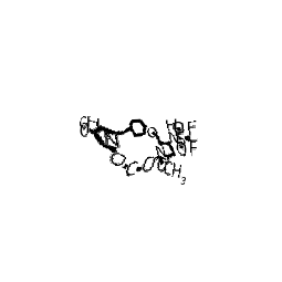 COc1cc2nc(c1)C1CCC(CC1)OCC1C(NS(=O)(=O)C(F)F)CC(C)N1C(=O)OCCCO2